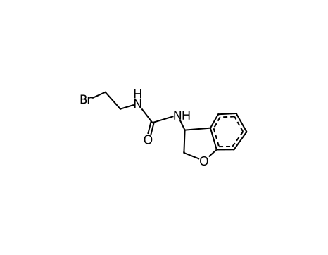 O=C(NCCBr)NC1COc2ccccc21